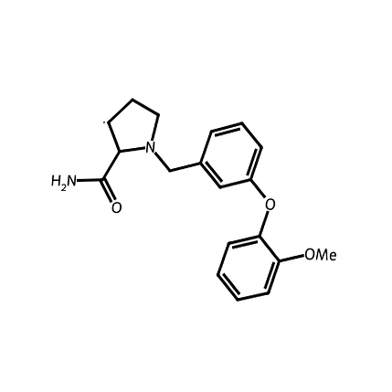 COc1ccccc1Oc1cccc(CN2CC[CH]C2C(N)=O)c1